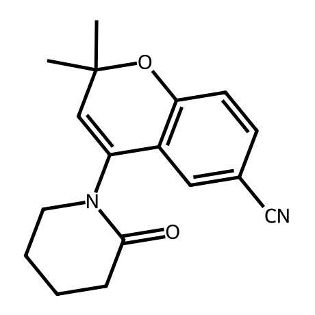 CC1(C)C=C(N2CCCCC2=O)c2cc(C#N)ccc2O1